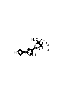 CC1(C)OB(c2cnn(C3CNC3)c2)OC1(C)C.Cl